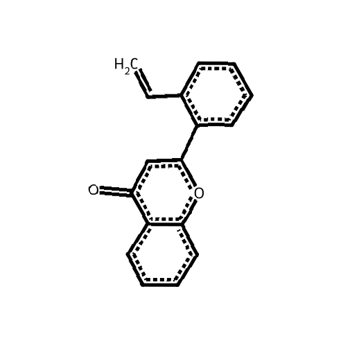 C=Cc1ccccc1-c1cc(=O)c2ccccc2o1